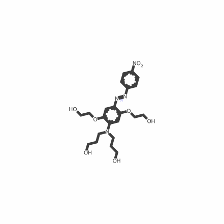 O=[N+]([O-])c1ccc(/N=N/c2cc(OCCO)c(N(CCCO)CCCO)cc2OCCO)cc1